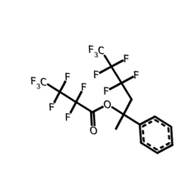 CC(CC(F)(F)C(F)(F)C(F)(F)F)(OC(=O)C(F)(F)C(F)(F)C(F)(F)F)c1ccccc1